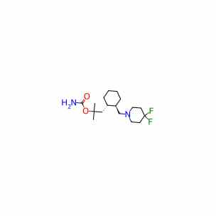 CC(C)(C[C@@H]1CCCC[C@H]1CN1CCC(F)(F)CC1)OC(N)=O